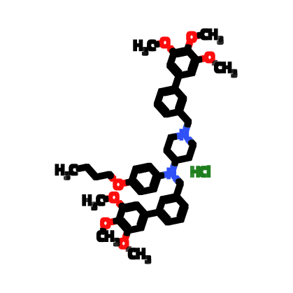 CCCCOc1ccc(N(Cc2cccc(-c3cc(OC)c(OC)c(OC)c3)c2)C2CCN(Cc3cccc(-c4cc(OC)c(OC)c(OC)c4)c3)CC2)cc1.Cl